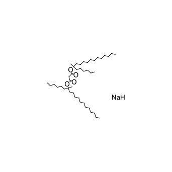 CCCCCCCCCCCCC(C)(CCCCCC)OC(=O)CC(=O)OC(C)(CCCCCC)CCCCCCCCCCCC.[NaH]